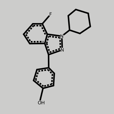 Oc1ccc(-c2nn(C3CCCCC3)c3c(F)cccc23)cc1